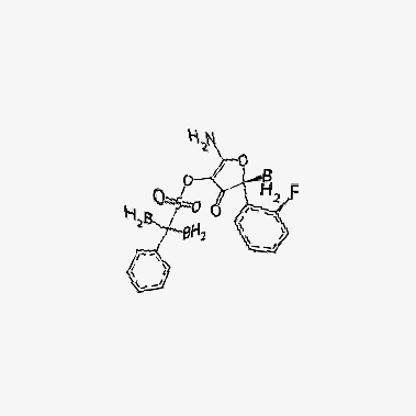 BC(B)(c1ccccc1)S(=O)(=O)OC1=C(N)O[C@](B)(c2ccccc2F)C1=O